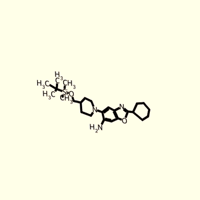 CC(C)(C)[Si](C)(C)OCC1CCN(c2cc3nc(C4CCCCC4)oc3cc2N)CC1